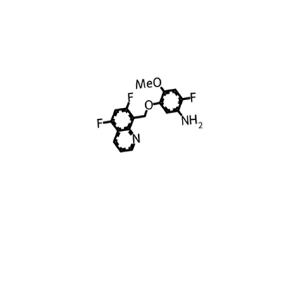 COc1cc(F)c(N)cc1OCc1c(F)cc(F)c2cccnc12